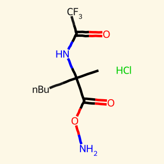 CCCCC(C)(NC(=O)C(F)(F)F)C(=O)ON.Cl